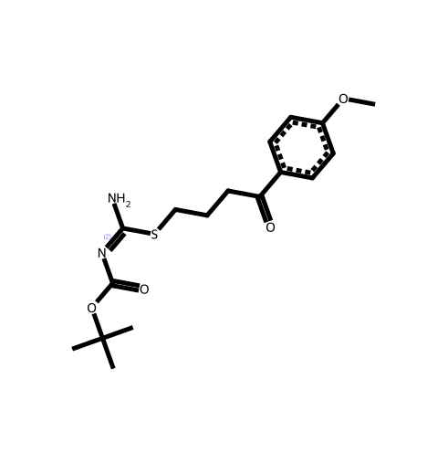 COc1ccc(C(=O)CCCS/C(N)=N\C(=O)OC(C)(C)C)cc1